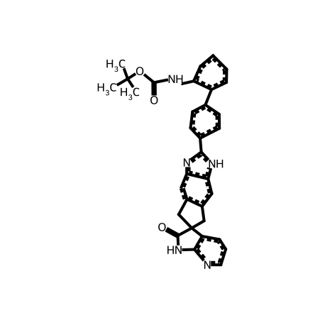 CC(C)(C)OC(=O)NCc1ccccc1-c1ccc(-c2nc3cc4c(cc3[nH]2)CC2(C4)C(=O)Nc3ncccc32)cc1